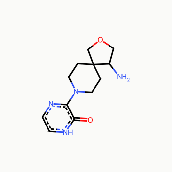 NC1COCC12CCN(c1nc[c][nH]c1=O)CC2